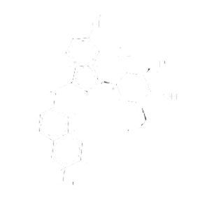 OC[C@H]1O[C@@H](n2cc(Sc3ccc4cc(O)ccc4c3)c3ccc(Cl)cc32)[C@H](O)[C@@H](O)[C@@H]1O